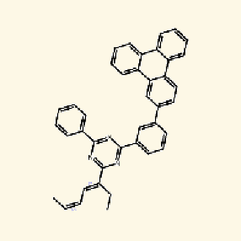 C/C=C\C=C(/CC)c1nc(-c2ccccc2)nc(-c2cccc(-c3ccc4c5ccccc5c5ccccc5c4c3)c2)n1